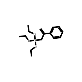 C=C(C[Si](OCC)(OCC)OCC)c1ccccc1